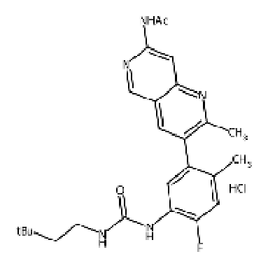 CC(=O)Nc1cc2nc(C)c(-c3cc(NC(=O)NCCC(C)(C)C)c(F)cc3C)cc2cn1.Cl